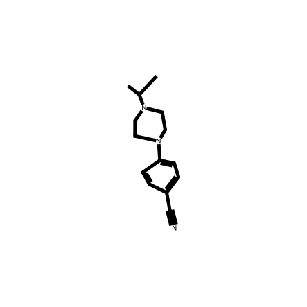 CC(C)N1CCN(c2ccc(C#N)cc2)CC1